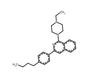 CCCCc1ccc(-c2cc3ccccc3c(N3CCN(CC)CC3)n2)cc1